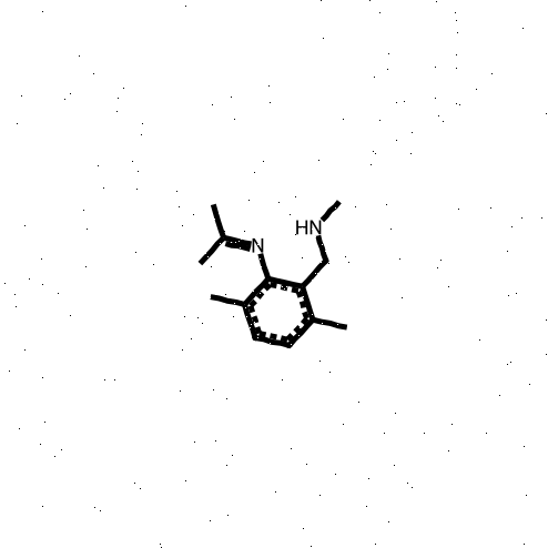 CNCc1c(C)ccc(C)c1N=C(C)C